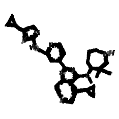 CN(c1nc(-c2ccnc(Nc3nc(C4CC4)cs3)c2)nc2cncc(C3CC3)c12)C1CCCNCC1(C)C